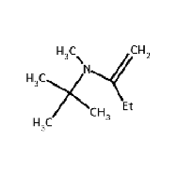 C=C(CC)N(C)C(C)(C)C